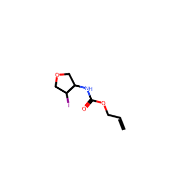 C=CCOC(=O)NC1COCC1I